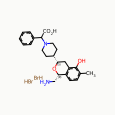 Br.Br.Cc1ccc2c(c1O)C[C@@H](C1CCN(C(C(=O)O)c3ccccc3)CC1)O[C@H]2CN